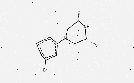 C[C@@H]1CN(c2cccc(Br)c2)C[C@H](C)N1